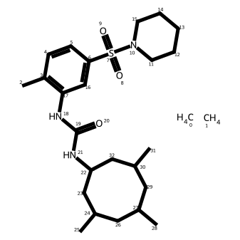 C.C.Cc1ccc(S(=O)(=O)N2CCCCC2)cc1NC(=O)N[C]1CC(C)CC(C)CC(C)C1